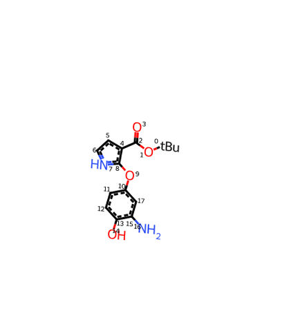 CC(C)(C)OC(=O)c1cc[nH]c1Oc1ccc(O)c(N)c1